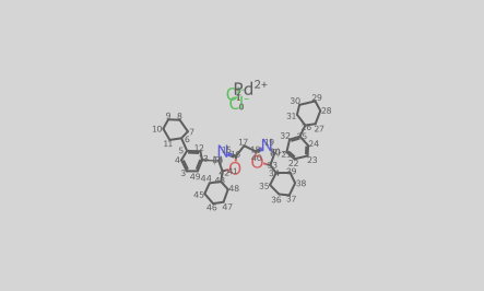 [Cl-].[Cl-].[Pd+2].c1cc(C2CCCCC2)cc([C@H]2N=C(CC3=N[C@H](c4cccc(C5CCCCC5)c4)C(C4CCCCC4)O3)OC2C2CCCCC2)c1